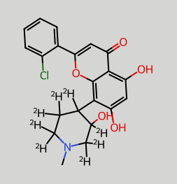 [2H]C1([2H])N(C)C([2H])([2H])C([2H])(O)C([2H])(c2c(O)cc(O)c3c(=O)cc(-c4ccccc4Cl)oc23)C1([2H])[2H]